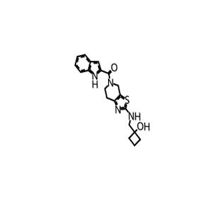 O=C(c1cc2ccccc2[nH]1)N1CCc2nc(NCC3(O)CCC3)sc2C1